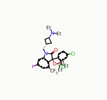 CCN(CC)[C@H]1C[C@H](CN2C(=O)C(O[Si](CC)(CC)CC)(c3ccc(Cl)cc3Cl)c3c2cc(I)cc3C(F)(F)F)C1